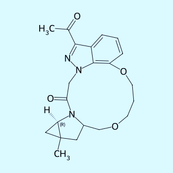 CC(=O)c1nn2c3c(cccc13)OCCCOCC1CC3(C)C[C@H]3N1C(=O)C2